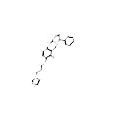 O=C1NC2=Nc3ccc(OCCCn4ccnc4)c(Cl)c3CN2C1c1ccccc1